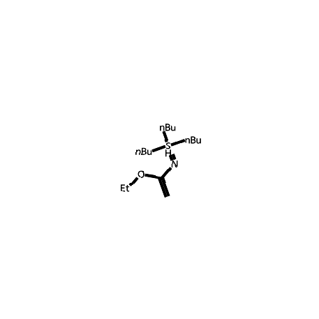 C=C(N=[SH](CCCC)(CCCC)CCCC)OCC